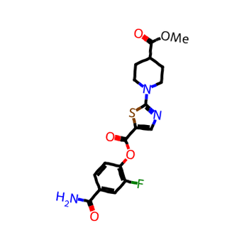 COC(=O)C1CCN(c2ncc(C(=O)Oc3ccc(C(N)=O)cc3F)s2)CC1